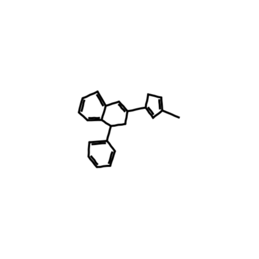 CC1=CCC(C2=Cc3ccccc3C(c3ccccc3)C2)=C1